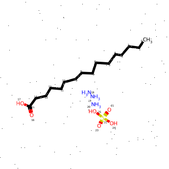 CCCCCCCCCCCCCCCC(=O)O.N.N.N.O=S(=O)(O)O